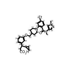 CCc1ccc(C(=O)N(C)c2cnn(C)c2)c(N2CCC(COc3cccc(C(CC(=O)O)C4CC4)c3)CC2)c1